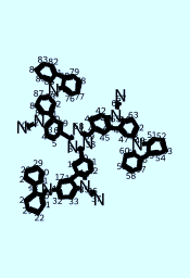 N#Cn1c2ccc(-c3nc(-c4ccc5c(c4)c4cc(-n6c7ccccc7c7ccccc76)ccc4n5C#N)nc(-c4ccc5c(c4)c4cc(-n6c7ccccc7c7ccccc76)ccc4n5C#N)n3)cc2c2cc(-n3c4ccccc4c4ccccc43)ccc21